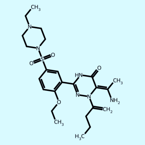 C=C(CCC)N1N=C(c2cc(S(=O)(=O)N3CCN(CC)CC3)ccc2OCC)NC(=O)/C1=C(\C)N